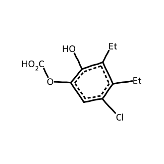 CCc1c(Cl)cc(OC(=O)O)c(O)c1CC